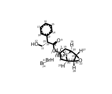 Br.CCCC[N+]1(C)[C@@H]2C[C@@H](OC(=O)[C@H](CO)c3ccccc3)C[C@H]1[C@@H]1O[C@@H]12.[Br-]